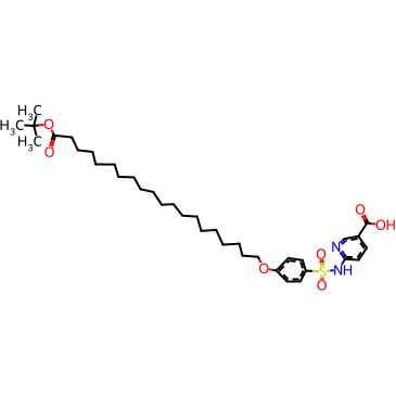 CC(C)(C)OC(=O)CCCCCCCCCCCCCCCCCCCOc1ccc(S(=O)(=O)Nc2ccc(C(=O)O)cn2)cc1